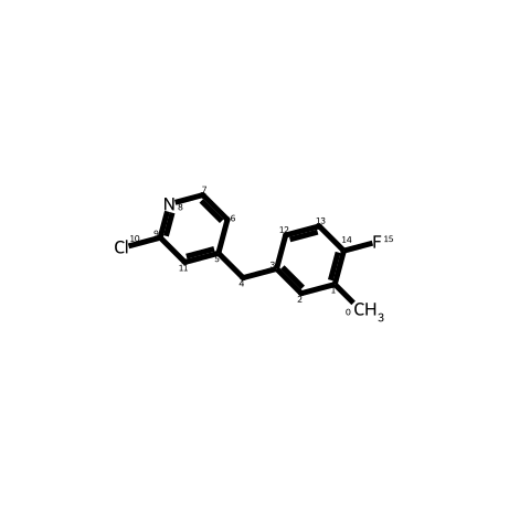 Cc1cc(Cc2ccnc(Cl)c2)ccc1F